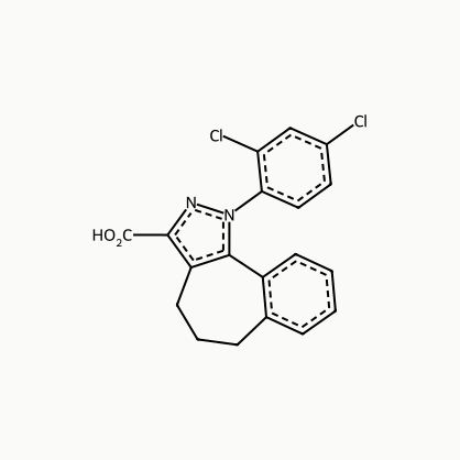 O=C(O)c1nn(-c2ccc(Cl)cc2Cl)c2c1CCCc1ccccc1-2